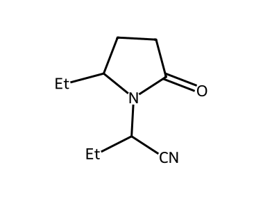 CCC(C#N)N1C(=O)CCC1CC